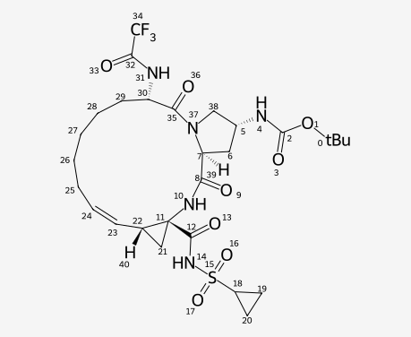 CC(C)(C)OC(=O)N[C@@H]1C[C@H]2C(=O)N[C@]3(C(=O)NS(=O)(=O)C4CC4)C[C@@H]3/C=C\CCCCC[C@H](NC(=O)C(F)(F)F)C(=O)N2C1